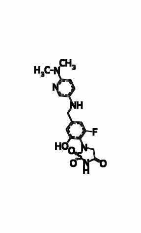 CN(C)c1ccc(NCc2cc(O)c(N3CC(=O)NS3(=O)=O)c(F)c2)cn1